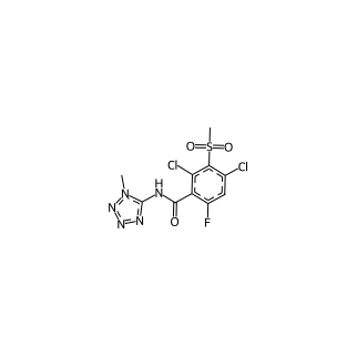 Cn1nnnc1NC(=O)c1c(F)cc(Cl)c(S(C)(=O)=O)c1Cl